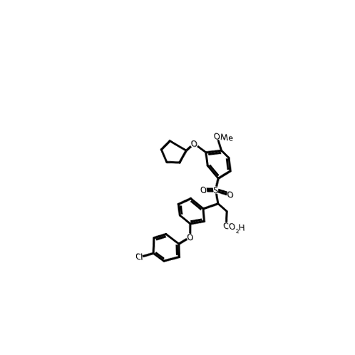 COc1ccc(S(=O)(=O)C(CC(=O)O)c2cccc(Oc3ccc(Cl)cc3)c2)cc1OC1CCCC1